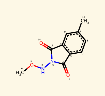 CONN1C(=O)c2ccc(C)cc2C1=O